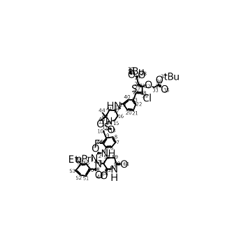 CCCN(C(=O)Nc1cccc(CS(=O)(=O)N2CCC(Nc3cccc(-c4sc(C(=O)OC(C)(C)C)c(OCC(=O)OC(C)(C)C)c4Cl)c3)CC2(C)C)c1F)N(C(=O)c1cccc(CC)c1)C1CCC(=O)NC1=O